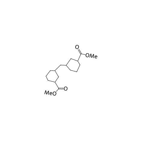 COC(=O)C1CCCC(CC2CCCC(C(=O)OC)C2)C1